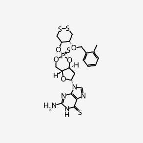 Cc1ccccc1CO[C@H]1CSSC[C@@H]1O[P@]1(=S)OC[C@H]2O[C@@H](n3cnc4c(=S)[nH]c(N)nc43)C[C@@H]2O1